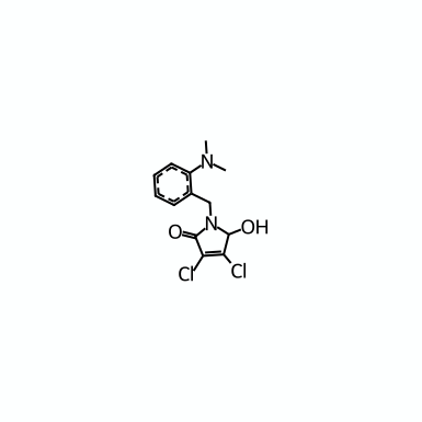 CN(C)c1ccccc1CN1C(=O)C(Cl)=C(Cl)C1O